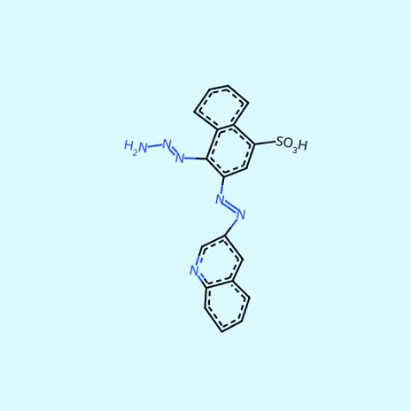 NN=Nc1c(/N=N/c2cnc3ccccc3c2)cc(S(=O)(=O)O)c2ccccc12